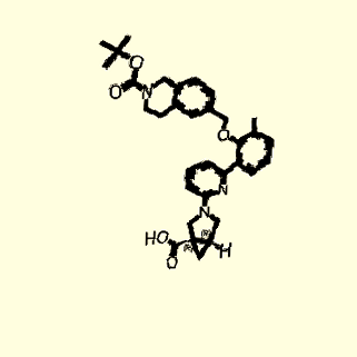 Cc1cccc(-c2cccc(N3C[C@@H]4C[C@]4(C(=O)O)C3)n2)c1OCc1ccc2c(c1)CCN(C(=O)OC(C)(C)C)C2